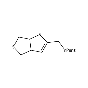 CCCCCCC1=CC2CSCC2S1